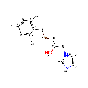 Cc1cc(C)c(CSCC(O)Cn2ccnc2)c(C)c1